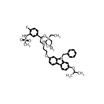 CC[Si](CC)(CC)O[C@@H](CNCCOc1ccc2c3ccc(OC(C)C)cc3n(Cc3ccccc3)c2c1)c1ccc(F)c(NS(C)(=O)=O)c1